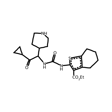 CCOC(=O)c1c(NC(=O)NC(C(=O)C2CC2)C2CCNCC2)sc2c1CCCC2